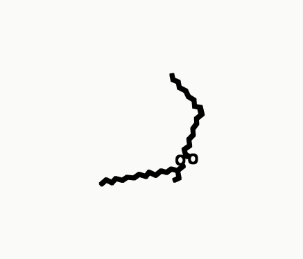 CCCCCCCC/C=C\CCCCCCCC(=O)OCC(CC)CCCCCCCCCCCCCC